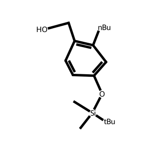 CCCCc1cc(O[Si](C)(C)C(C)(C)C)ccc1CO